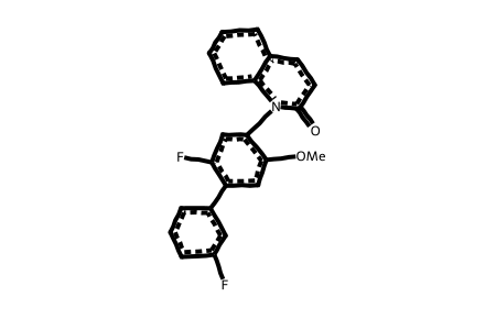 COc1cc(-c2cccc(F)c2)c(F)cc1-n1c(=O)ccc2ccccc21